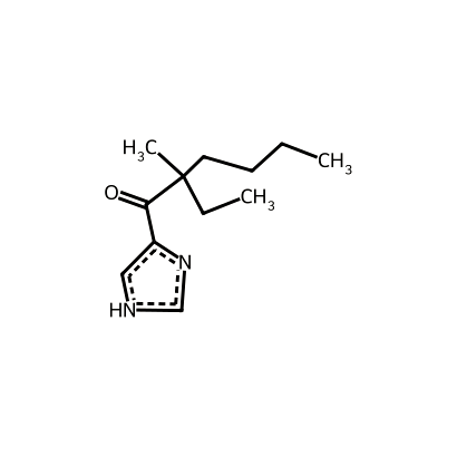 CCCCC(C)(CC)C(=O)c1c[nH]cn1